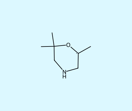 C[C]1CNCC(C)(C)O1